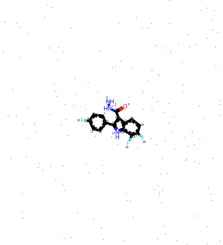 NNC(=O)c1c(-c2ccc(F)cc2)[nH]c2c(F)c(F)ccc12